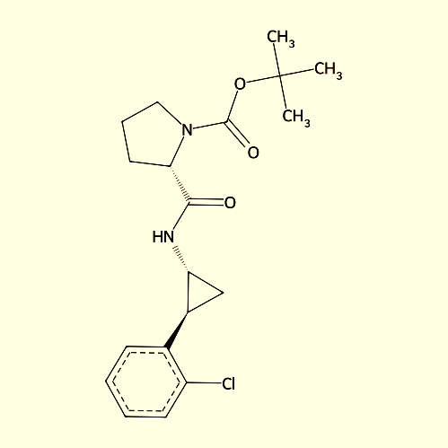 CC(C)(C)OC(=O)N1CCC[C@H]1C(=O)N[C@@H]1C[C@H]1c1ccccc1Cl